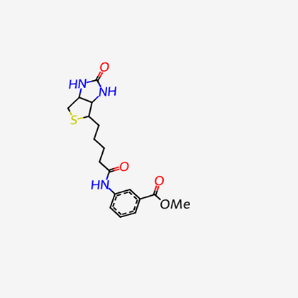 COC(=O)c1cccc(NC(=O)CCCCC2SCC3NC(=O)NC32)c1